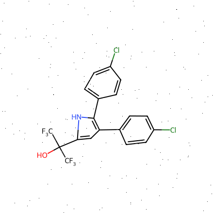 OC(c1cc(-c2ccc(Cl)cc2)c(-c2ccc(Cl)cc2)[nH]1)(C(F)(F)F)C(F)(F)F